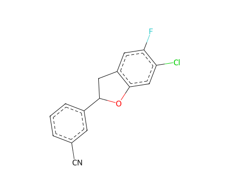 N#Cc1cccc(C2Cc3cc(F)c(Cl)cc3O2)c1